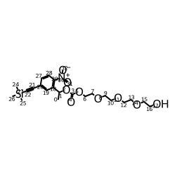 CC(OC(=O)OCCOCCOCCOCCO)c1cc(C#C[Si](C)(C)C)ccc1[N+](=O)[O-]